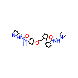 CCN(CC)CCNC(=O)c1ccccc1-c1ccccc1CCOc1ccc(NC(=O)NCc2cccnc2)cc1